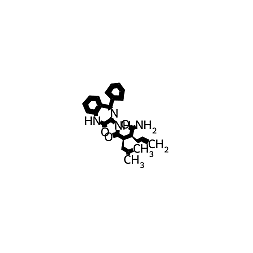 C=CC[C@H](C(N)=O)[C@@H](CC(C)C)C(=O)NC1N=C(c2ccccc2)c2ccccc2NC1=O